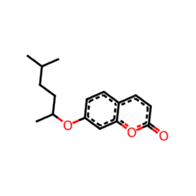 CC(C)CCC(C)Oc1ccc2ccc(=O)oc2c1